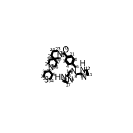 O=C(c1ccc(CN(Cc2ncc[nH]2)Cc2ncc[nH]2)cc1)N1CCCC2(CCN(C3CCSCC3)CC2)C1